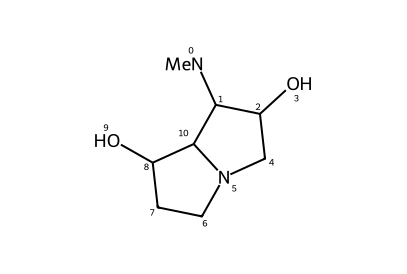 CNC1C(O)CN2CCC(O)C12